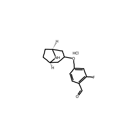 Cl.O=Cc1ccc(OC2C[C@H]3CC[C@@H](C2)N3)cc1F